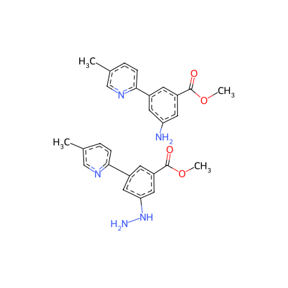 COC(=O)c1cc(N)cc(-c2ccc(C)cn2)c1.COC(=O)c1cc(NN)cc(-c2ccc(C)cn2)c1